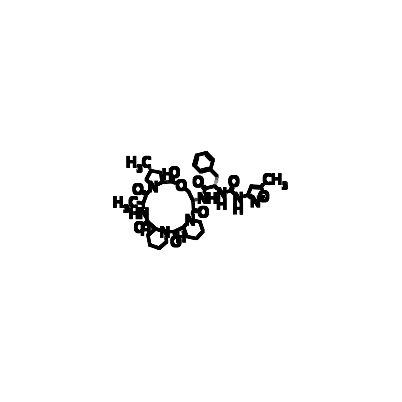 Cc1cc(NC(=O)N[C@@H](Cc2ccccc2)C(=O)N[C@H]2COC(=O)[C@@H]3C[C@@H](C)CN3C(=O)[C@H](C)NC(=O)[C@@H]3CCCCN3C(=O)[C@@H]3CCCCN3C2=O)no1